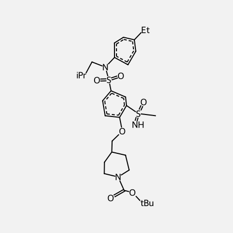 CCc1ccc(N(CC(C)C)S(=O)(=O)c2ccc(OCC3CCN(C(=O)OC(C)(C)C)CC3)c(S(C)(=N)=O)c2)cc1